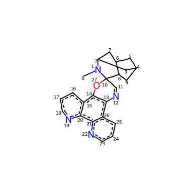 CN1C2CC3CC(C2)C(C3)C12C=Nc1c(c3cccnc3c3ncccc13)O2